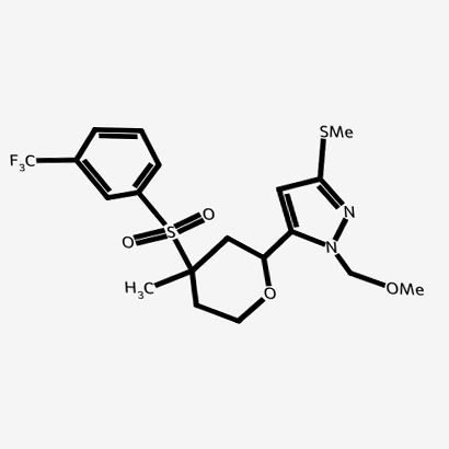 COCn1nc(SC)cc1C1CC(C)(S(=O)(=O)c2cccc(C(F)(F)F)c2)CCO1